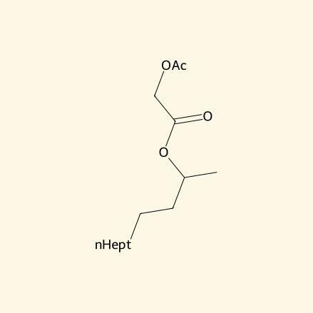 CCCCCCCCCC(C)OC(=O)COC(C)=O